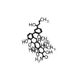 C=CCC(O)c1ccc(OC)c(-c2ccc(O)c3c2C[C@H]2C[C@H]4[C@H](N(C)C)C(O)C(C(N)=O)C(=O)[C@@]4(O)C(O)=C2C3=O)c1